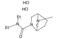 CCN(CC)C(=O)N1CC2CCC1CN2C.Cl.Cl